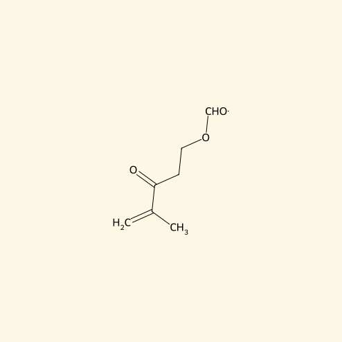 C=C(C)C(=O)CCO[C]=O